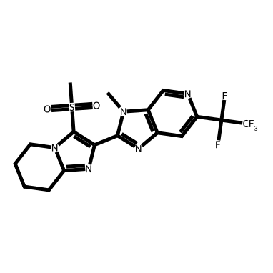 Cn1c(-c2nc3n(c2S(C)(=O)=O)CCCC3)nc2cc(C(F)(F)C(F)(F)F)ncc21